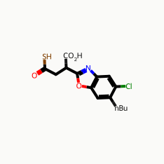 CCCCc1cc2oc(C(CC(=O)S)C(=O)O)nc2cc1Cl